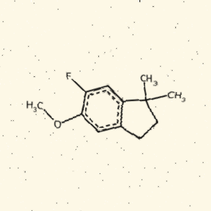 COc1cc2c(cc1F)C(C)(C)CC2